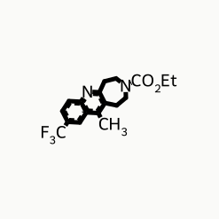 CCOC(=O)N1CCc2nc3ccc(C(F)(F)F)cc3c(C)c2CC1